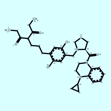 CCC(=O)C(CCCc1cc(Cl)c(CN2CSC[C@H]2C(=O)N2CCN(C3CC3)c3ccccc32)cc1Cl)C(=O)CC